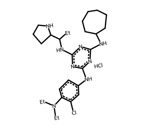 CCC(Nc1nc(Nc2ccc(N(CC)CC)c(Cl)c2)nc(NC2CCCCCC2)n1)C1CCCN1.Cl